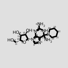 NC1=Nc2c(ncn2[C@@H]2O[C@H](CO)[C@@H](O)[C@H]2O)C(N)(N2CCCCC2)N1